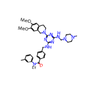 CCN(C(=O)c1ccc(CNc2nc(NCN3CCN(C)CC3)nc(N3CCc4cc(OC)c(OC)cc4C3)n2)cc1)c1cccc(C)c1